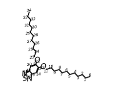 CCCCCCCCCCCCOc1cc2nsnc2cc1OCCCCCCCCCCCC